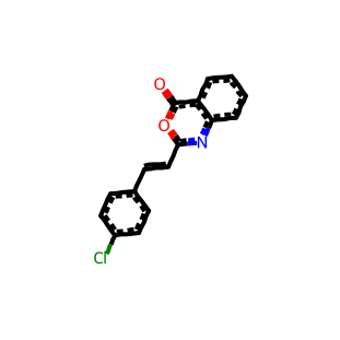 O=c1oc(C=Cc2ccc(Cl)cc2)nc2ccccc12